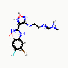 CN(C)/C=N/CCNc1nonc1/C(=N/O)Nc1ccc(F)c(Br)c1